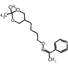 CC(=NOCCCCC1COC(C)(C)OC1)c1ccncc1